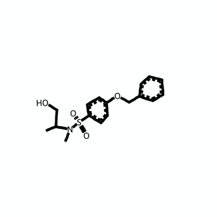 CC(CO)N(C)S(=O)(=O)c1ccc(OCc2ccccc2)cc1